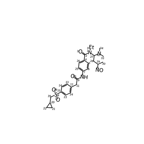 CCN(C(=O)c1ccc(NC(=O)Cc2ccc(S(=O)(=O)CC3CC3)cc2)cc1)C(CC(C)N=O)N(C)C